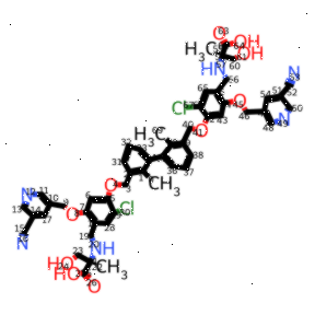 Cc1c(COc2cc(OCc3cncc(C#N)c3)c(CN[C@@](C)(CO)C(=O)O)cc2Cl)cccc1-c1cccc(COc2cc(OCc3cncc(C#N)c3)c(CN[C@@](C)(CO)C(=O)O)cc2Cl)c1C